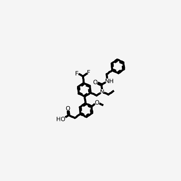 CCN(Cc1cc(C(F)F)ccc1-c1cc(CC(=O)O)ccc1OC)C(=O)NCc1ccccc1